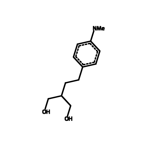 CNc1ccc(CCC(CO)CO)cc1